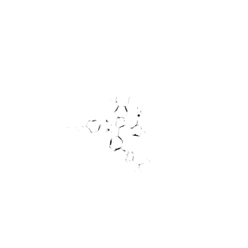 Cc1ccc(S(=O)(=O)n2c(-c3cccc(N4CC(C(=O)O)C4)c3)c(-c3ccsc3C#N)c3cc(F)c(Cl)cc32)cc1